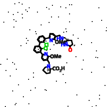 COc1nc(-c2cccc(-c3cccc(-c4ccc(CN5CCCC[C@@H]5C(=O)O)c(OC)n4)c3Cl)c2Cl)ccc1CNC[C@@H]1CCC(=O)N1